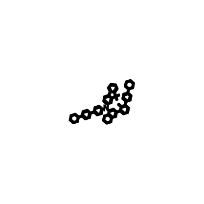 Cc1c(-c2ccc(C3CCCCC3)cc2)cccc1-c1cc2c(c(N(c3ccc(-c4ccc(C5CCCCC5)cc4)cc3)c3ccc4c(c3)C(C)(C)c3ccccc3-4)c1)CCCC2